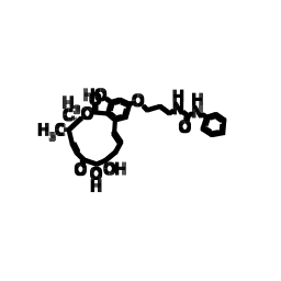 C[C@@H]1/C=C\C(=O)[C@@H](O)[C@@H](O)C/C=C/c2cc(OCCCNC(=O)Nc3ccccc3)cc(O)c2C(=O)O[C@H]1C